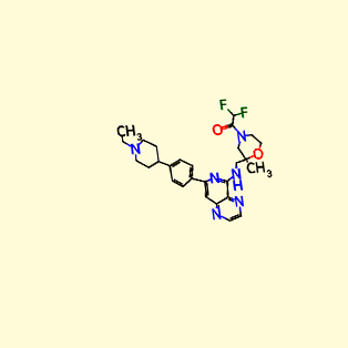 CCN1CCC(c2ccc(-c3cc4nccnc4c(NC[C@@]4(C)CN(C(=O)C(F)F)CCO4)n3)cc2)CC1